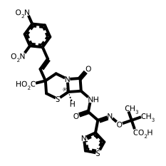 CC(C)(ON=C(C(=O)NC1C(=O)N2CC(C=Cc3ccc([N+](=O)[O-])cc3[N+](=O)[O-])(C(=O)O)CS[C@H]12)c1cscn1)C(=O)O